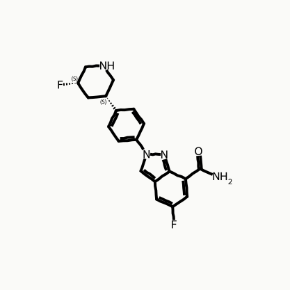 NC(=O)c1cc(F)cc2cn(-c3ccc([C@H]4CNC[C@@H](F)C4)cc3)nc12